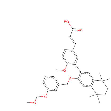 COCOc1cccc(COc2cc3c(cc2-c2cc(/C=C/C(=O)O)ccc2OC)C(C)(C)CCC3(C)C)c1